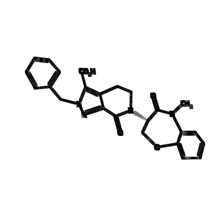 CN1C(=O)[C@@H](N2CCc3c(nn(Cc4ccccc4)c3C(=O)O)C2=O)COc2ccccc21